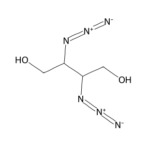 [N-]=[N+]=NC(CO)C(CO)N=[N+]=[N-]